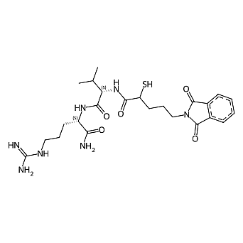 CC(C)[C@H](NC(=O)C(S)CCCN1C(=O)c2ccccc2C1=O)C(=O)N[C@@H](CCCNC(=N)N)C(N)=O